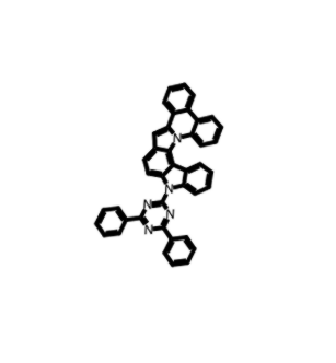 c1ccc(-c2nc(-c3ccccc3)nc(-n3c4ccccc4c4c3ccc3cc5c6ccccc6c6ccccc6n5c34)n2)cc1